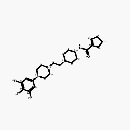 O=C(N[C@H]1CC[C@H](CCN2CCN(c3cc(F)c(F)c(F)c3)CC2)CC1)C1=CCCC1